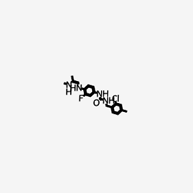 CN/C(C)=C\Nc1ccc(NC(=O)NCc2ccc(C)cc2Cl)cc1F